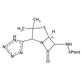 CCCCCNC1C(=O)N2C(c3nnn[nH]3)C(C)(C)S[C@@H]12